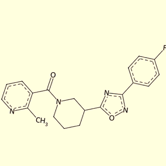 Cc1ncccc1C(=O)N1CCCC(c2nc(-c3ccc(F)cc3)no2)C1